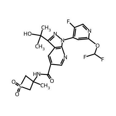 CC1(NC(=O)c2cnc3c(c2)c(C(C)(C)O)nn3-c2cc(OC(F)F)ncc2F)CS(=O)(=O)C1